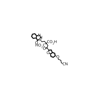 N#CCCCOc1ccc2oc(C(=O)CC(CCn3nnc4ccccc4c3=O)(C(=O)O)C(=O)O)cc2c1